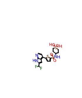 O=S(=O)(NC1CCS(O)(O)CC1)c1ccc(-c2ccnc3[nH]c(C(F)F)cc23)s1